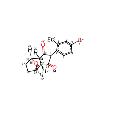 CCc1cc(Br)ccc1C1C(=O)[C@@H]2[C@H](C1=O)[C@H]1CC[C@@H]2O1